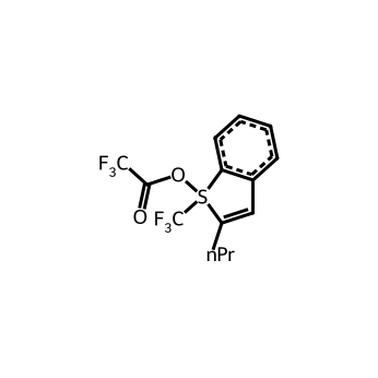 CCCC1=Cc2ccccc2S1(OC(=O)C(F)(F)F)C(F)(F)F